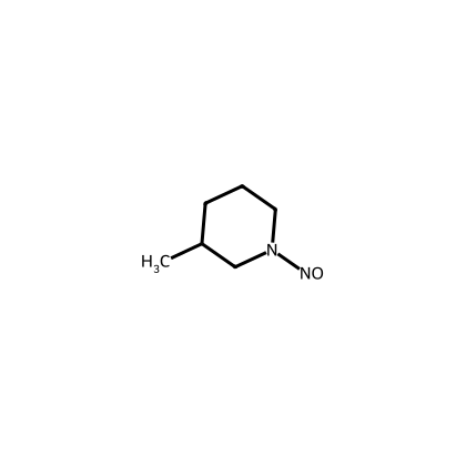 CC1CCCN(N=O)C1